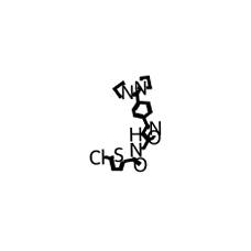 O=C(NCc1cc(-c2ccc(C(N3CCC3)=[N+]3CCC3)cc2)no1)c1ccc(Cl)s1